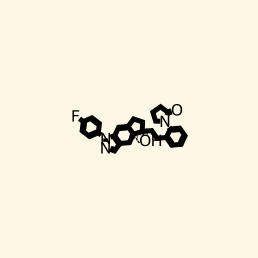 C[C@]12Cc3cnn(-c4ccc(F)cc4)c3C=C1CC[C@@]2(O)CCc1ccccc1N1CCCC1=O